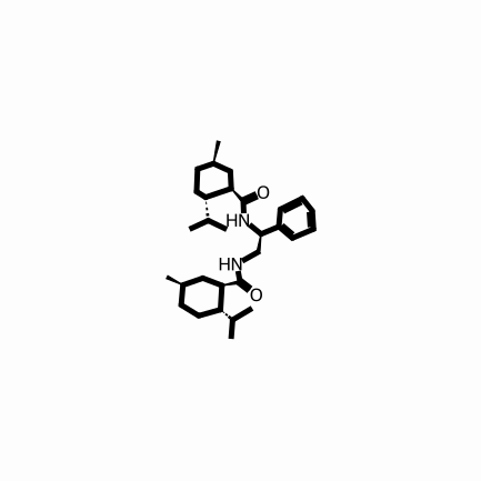 CC(C)[C@@H]1CC[C@@H](C)C[C@H]1C(=O)NC[C@@H](NC(=O)[C@@H]1C[C@H](C)CC[C@H]1C(C)C)c1ccccc1